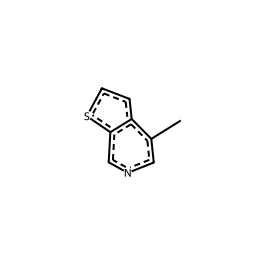 Cc1cncc2sccc12